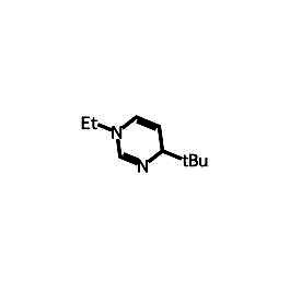 CCN1C=CC(C(C)(C)C)N=C1